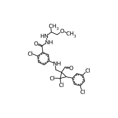 COCC(C)NNC(=O)c1cc(NCC2(C=O)C(c3cc(Cl)cc(Cl)c3)C2(Cl)Cl)ccc1Cl